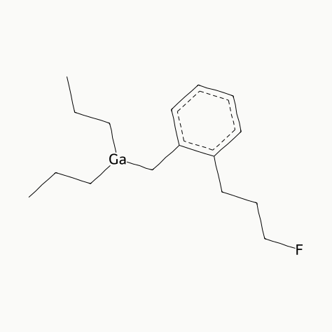 CC[CH2][Ga]([CH2]CC)[CH2]c1ccccc1CCCF